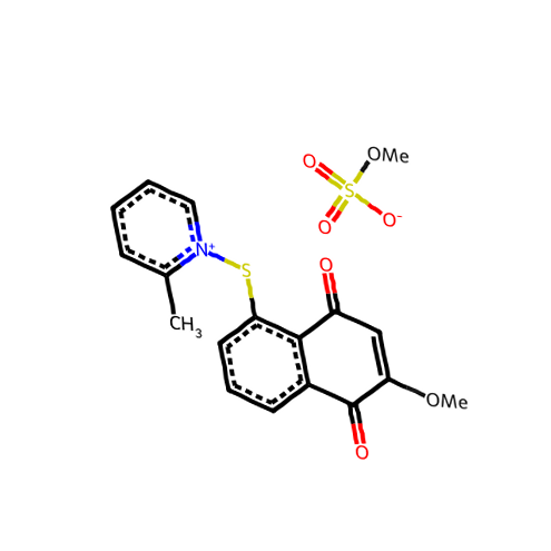 COC1=CC(=O)c2c(S[n+]3ccccc3C)cccc2C1=O.COS(=O)(=O)[O-]